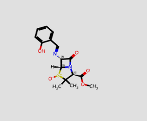 COC(=O)[C@@H]1N2C(=O)[C@@H](N=Cc3ccccc3O)[C@H]2[S+]([O-])C1(C)C